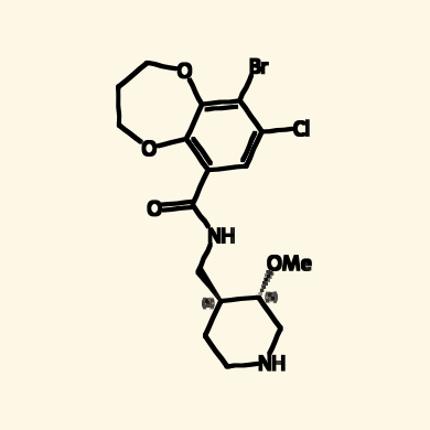 CO[C@@H]1CNCC[C@H]1CNC(=O)c1cc(Cl)c(Br)c2c1OCCCO2